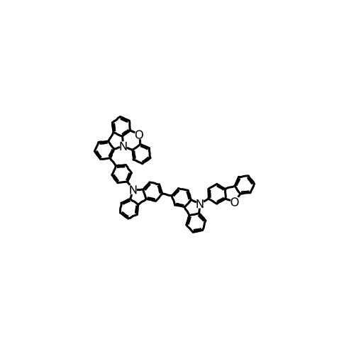 c1ccc2c(c1)Oc1cccc3c4cccc(-c5ccc(-n6c7ccccc7c7cc(-c8ccc9c(c8)c8ccccc8n9-c8ccc9c(c8)oc8ccccc89)ccc76)cc5)c4n-2c13